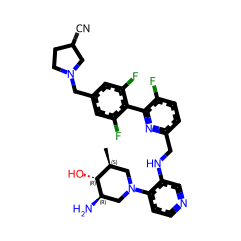 C[C@H]1CN(c2ccncc2NCc2ccc(F)c(-c3c(F)cc(CN4CCC(C#N)C4)cc3F)n2)C[C@@H](N)[C@@H]1O